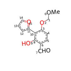 COCOc1ccc(C=O)c(O)c1-c1ccco1